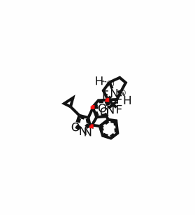 N#Cc1ccc(N2[C@@H]3CC[C@H]2C[C@@H](OCc2c(-c4ccccc4OC(F)(F)F)noc2C2CC2)C3)nc1